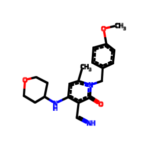 COc1ccc(Cn2c(C)cc(NC3CCOCC3)c(C=N)c2=O)cc1